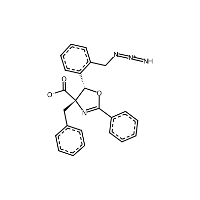 N=[N+]=NCc1ccccc1[C@@H]1OC(c2ccccc2)=N[C@]1(Cc1ccccc1)C(=O)[O-]